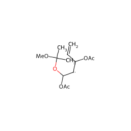 C=CC([CH]C(OC(C)=O)OC(C)(C)OC)OC(C)=O